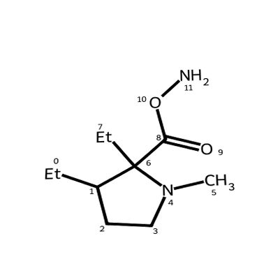 CCC1CCN(C)C1(CC)C(=O)ON